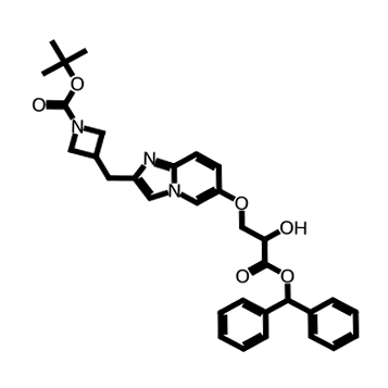 CC(C)(C)OC(=O)N1CC(Cc2cn3cc(OCC(O)C(=O)OC(c4ccccc4)c4ccccc4)ccc3n2)C1